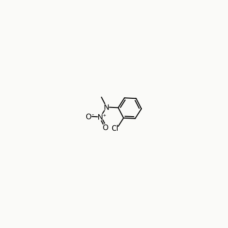 CN(c1ccccc1Cl)[N+](=O)[O-]